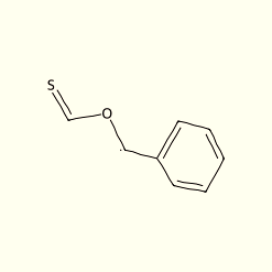 S=CO[CH]c1ccccc1